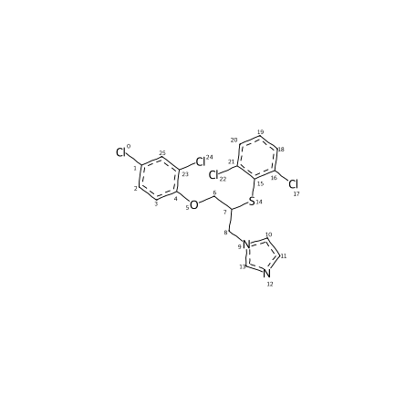 Clc1ccc(OCC(Cn2ccnc2)Sc2c(Cl)cccc2Cl)c(Cl)c1